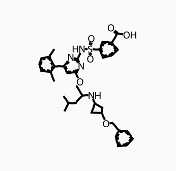 Cc1cccc(C)c1-c1cc(OCC(CC(C)C)NC2CC(OCc3ccccc3)C2)nc(NS(=O)(=O)c2cccc(C(=O)O)c2)n1